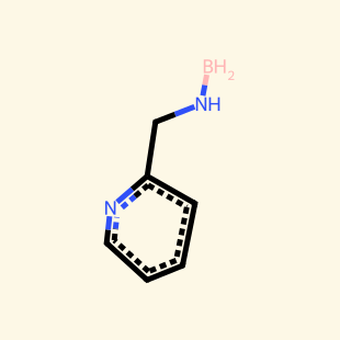 BNCc1ccccn1